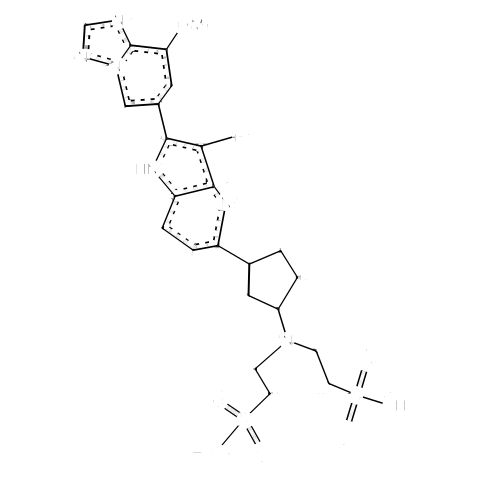 COc1cc(-c2[nH]c3ccc(C4CCC(N(CCS(C)(=O)=O)CCS(C)(=O)=O)C4)nc3c2C(C)C)cn2ncnc12